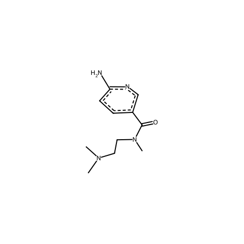 CN(C)CCN(C)C(=O)c1ccc(N)nc1